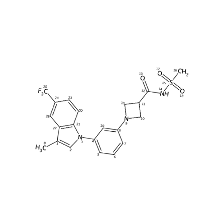 Cc1cn(-c2cccc(N3CC(C(=O)NS(C)(=O)=O)C3)c2)c2ccc(C(F)(F)F)cc12